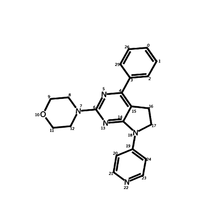 c1ccc(-c2nc(N3CCOCC3)nc3c2CCN3c2ccncc2)cc1